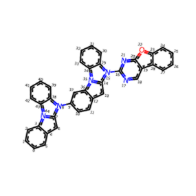 c1ccc2c(c1)cc1n(-c3ccc4cc5n(-c6ncc7c(n6)oc6ccccc67)c6ccccc6n5c4c3)c3ccccc3n21